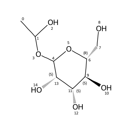 CC(O)OC1O[C@H](CO)[C@@H](O)[C@H](O)[C@@H]1O